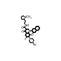 CC(=O)N1CCN(c2c(F)cc3c(=O)c(C(=O)NCCC4CCCN4C)cn4c3c2Oc2cc3ccccc3cc2-4)CC1